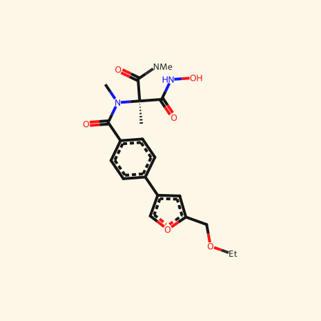 CCOCc1cc(-c2ccc(C(=O)N(C)[C@@](C)(C(=O)NC)C(=O)NO)cc2)co1